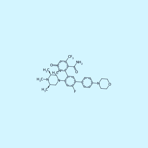 C[C@@H]1CN(c2cc(F)c(-c3ccc(N4CCOCC4)cc3)cc2-c2c(C(N)=O)c(C(F)(F)F)cc(=O)n2C)C[C@H](C)N1C